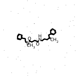 C=C(CCCNC(=O)CCC(=O)N(C)CCc1ccccc1)Cc1ccccc1